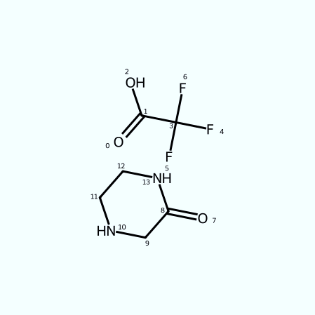 O=C(O)C(F)(F)F.O=C1CNCCN1